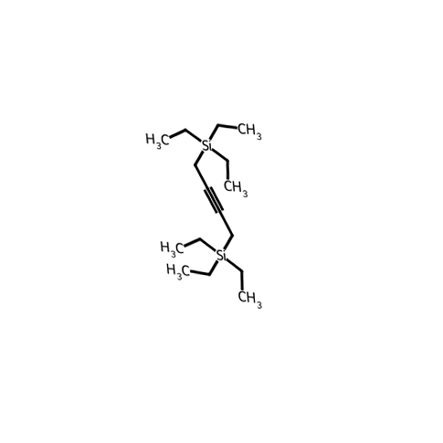 CC[Si](CC)(CC)CC#CC[Si](CC)(CC)CC